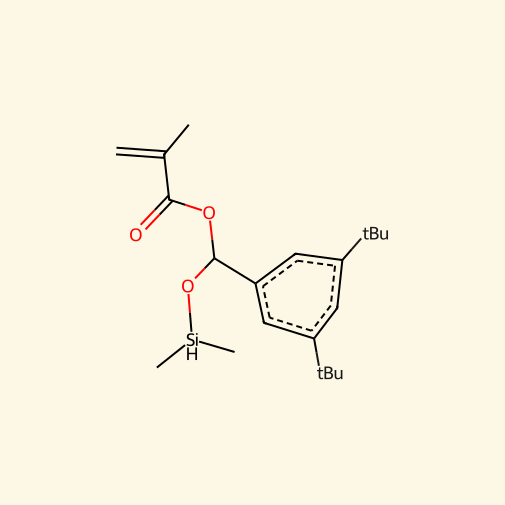 C=C(C)C(=O)OC(O[SiH](C)C)c1cc(C(C)(C)C)cc(C(C)(C)C)c1